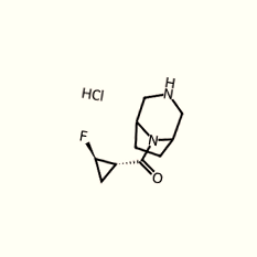 Cl.O=C([C@@H]1C[C@H]1F)N1C2CCC1CNC2